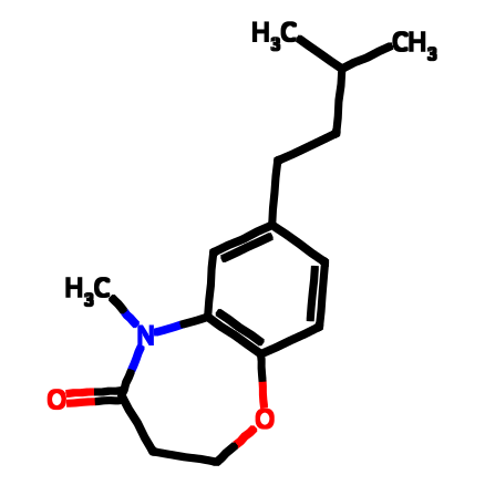 CC(C)CCc1ccc2c(c1)N(C)C(=O)CCO2